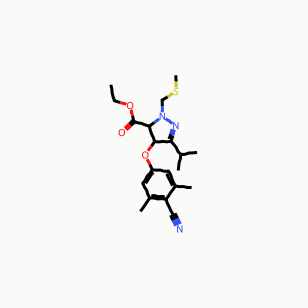 CCOC(=O)C1C(Oc2cc(C)c(C#N)c(C)c2)C(C(C)C)=NN1CSC